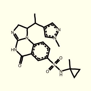 CC(c1cnn(C)c1)C1CN=C2NC(=O)c3cc(S(=O)(=O)NC4(C)CC4)ccc3N21